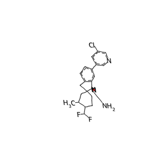 CC1CC2(CCC1C(F)F)Cc1ccc(-c3cncc(Cl)c3)cc1C21N=CC(N)=N1